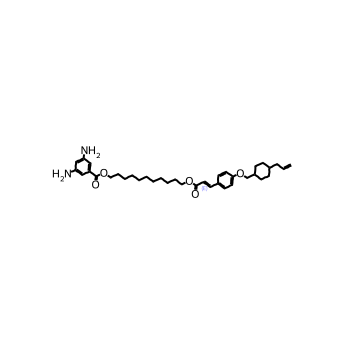 C=CCC1CCC(COc2ccc(/C=C/C(=O)OCCCCCCCCCCCOC(=O)c3cc(N)cc(N)c3)cc2)CC1